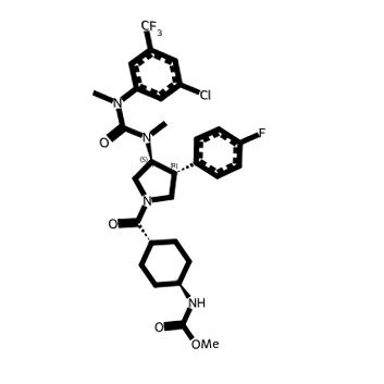 COC(=O)N[C@H]1CC[C@H](C(=O)N2C[C@@H](N(C)C(=O)N(C)c3cc(Cl)cc(C(F)(F)F)c3)[C@H](c3ccc(F)cc3)C2)CC1